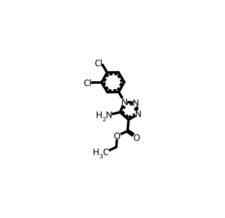 CCOC(=O)c1nnn(-c2ccc(Cl)c(Cl)c2)c1N